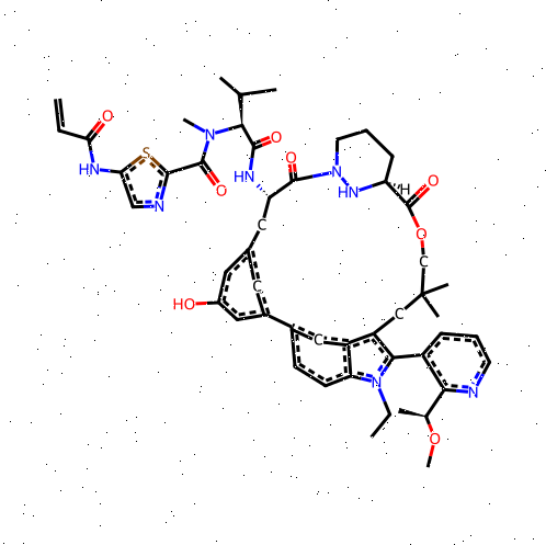 C=CC(=O)Nc1cnc(C(=O)N(C)[C@H](C(=O)N[C@H]2Cc3cc(O)cc(c3)-c3ccc4c(c3)c(c(-c3cccnc3[C@H](C)OC)n4CC)CC(C)(C)COC(=O)[C@@H]3CCCN(N3)C2=O)C(C)C)s1